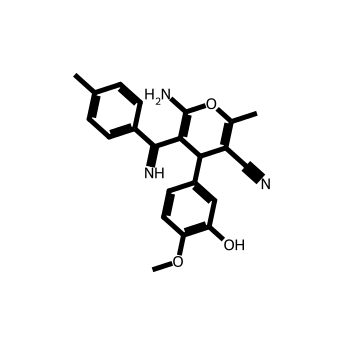 COc1ccc(C2C(C#N)=C(C)OC(N)=C2C(=N)c2ccc(C)cc2)cc1O